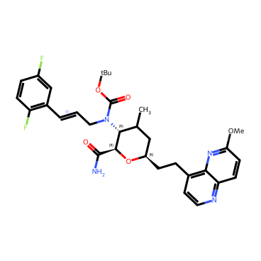 COc1ccc2nccc(CC[C@@H]3CC(C)[C@@H](N(C/C=C/c4cc(F)ccc4F)C(=O)OC(C)(C)C)[C@H](C(N)=O)O3)c2n1